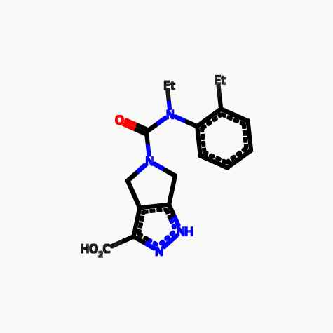 CCc1ccccc1N(CC)C(=O)N1Cc2[nH]nc(C(=O)O)c2C1